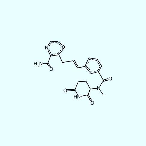 CN(C(=O)c1cccc(C=CCc2cccnc2C(N)=O)c1)C1CCC(=O)NC1=O